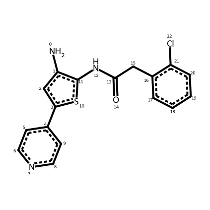 Nc1cc(-c2ccncc2)sc1NC(=O)Cc1ccccc1Cl